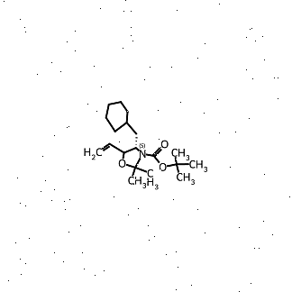 C=CC1OC(C)(C)N(C(=O)OC(C)(C)C)[C@H]1CC1CCCCC1